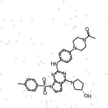 CC(=O)N1CCN(c2ccc(Nc3nc(N4CC[C@H](O)C4)c4ccn(S(=O)(=O)c5ccc(C)cc5)c4n3)cc2)CC1